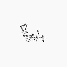 Cn1c(C(=O)N[C@H]2CCCC[C@H]2C(=O)N[C@H](C#N)CCS(C)(=O)=O)cc2ccccc21